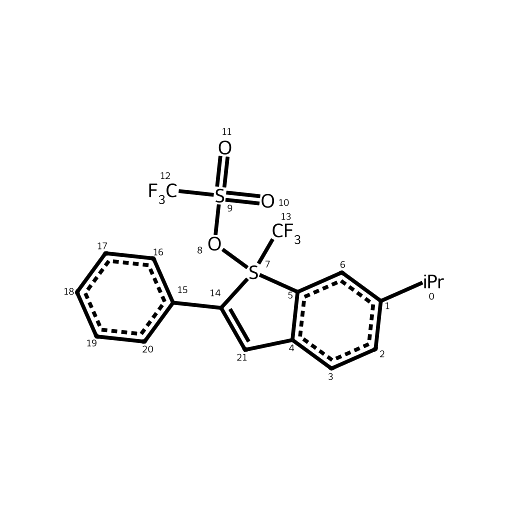 CC(C)c1ccc2c(c1)S(OS(=O)(=O)C(F)(F)F)(C(F)(F)F)C(c1ccccc1)=C2